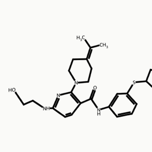 CC(C)=C1CCN(c2nc(NCCO)ccc2C(=O)Nc2cccc(SC3CCCC3)c2)CC1